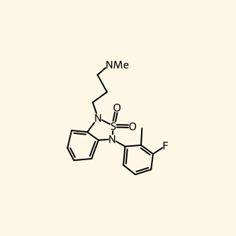 CNCCCN1c2ccccc2N(c2cccc(F)c2C)S1(=O)=O